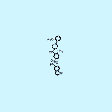 COc1ccccc1N1CCN(C(=O)c2cc(S(=O)(=O)Nc3ccc4[nH]ccc4c3)ccc2C)CC1